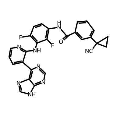 N#CC1(c2cccc(C(=O)Nc3ccc(F)c(Nc4ncccc4-c4ncnc5[nH]cnc45)c3F)c2)CC1